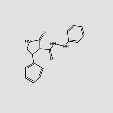 O=C1NCC(c2ccccc2)C1C(=O)NNc1ccccc1